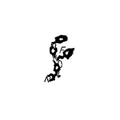 CN(c1ccncc1)c1ccc(CN(C(=O)C=Cc2ccccc2F)C2CCN(Cc3ccccc3)CC2)cc1